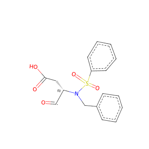 O=[C][C@H](CC(=O)O)N(Cc1ccccc1)S(=O)(=O)c1ccccc1